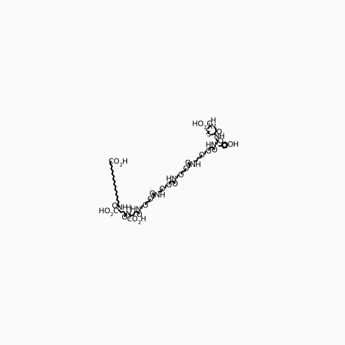 O=C(O)CCCCCCCCCCCCCCCCC(=O)N[C@@H](CCC(=O)N[C@@H](CCC(=O)NCCOCCOCC(=O)NCCOCCOCC(=O)NCCOCCOCC(=O)NCCCCOCCOCC(=O)N[C@@H](Cc1ccc(O)cc1)C(=O)CN[C@H]1CSSC[C@@H](C(=O)O)NCC1=O)C(=O)O)C(=O)O